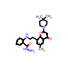 Cc1cc(CCNc2ccccc2C(=O)NN)c2oc(N3CCC(C)(C)CC3)cc(=O)c2c1